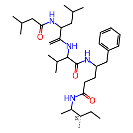 C=C(NC(C(=O)NC(CCC(=O)NC(C)[C@@H](C)CC)Cc1ccccc1)C(C)C)C(CC(C)C)NC(=O)CC(C)C